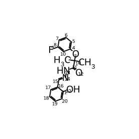 CC(C)(Oc1cccc(F)c1)C(=O)NN=Cc1ccccc1O